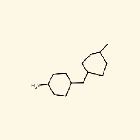 CC1CCC(CC2CCC(N)CC2)CC1